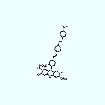 COc1cc2oc3cc(=O)c(Cl)cc-3c(-c3ccc(/C=C/c4ccc(/C=C/c5ccc(N(C)C)cc5)cc4)cc3S(=O)(=O)O)c2cc1Cl